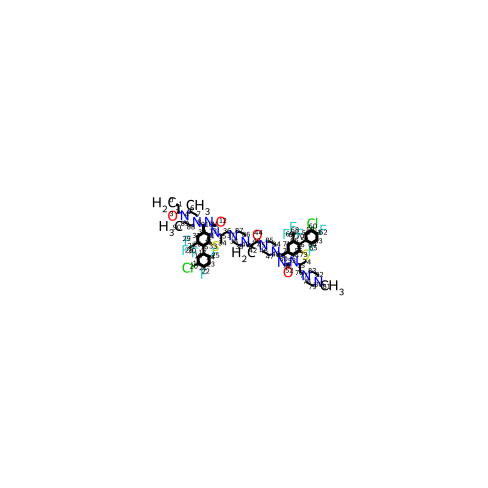 C=CC(=O)N1[C@H](C)CN(c2nc(=O)n3c4c(c(-c5cc(Cl)c(F)cc5F)c(C(F)(F)F)cc24)SCC3CN2CCN(C(=C)C(=O)N3CCN(c4nc(=O)n5c6c(c(-c7cc(Cl)c(F)cc7F)c(C(F)(F)F)cc46)SCC5CN4CCN(C)CC4)CC3)CC2)C[C@@H]1C